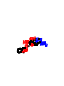 COC1(CC(=O)OC[C@H]2O[C@@](C)(c3ccc4c(N)ncnn34)[C@H](O)[C@@H]2O)CCCCC1